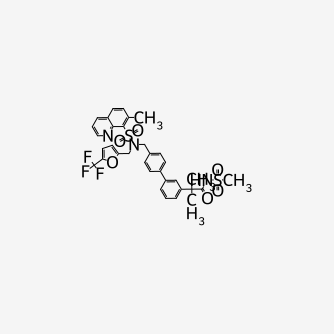 Cc1ccc2cccnc2c1S(=O)(=O)N(Cc1ccc(-c2cccc(C(C)(C)C(=O)NS(C)(=O)=O)c2)cc1)Cc1ccc(C(F)(F)F)o1